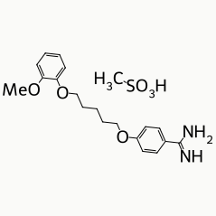 COc1ccccc1OCCCCCOc1ccc(C(=N)N)cc1.CS(=O)(=O)O